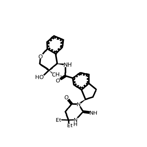 CCC1(CC)CC(=O)N([C@@H]2CCc3ccc(C(=O)N[C@@H]4c5ccccc5OC[C@]4(C)O)cc32)C(=N)N1